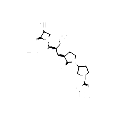 CSCC(/C=C1\CCN(C2CCN(C(=O)OC(C)(C)C)C2)C1=O)=C(/C(=O)O)N1C[C@H](N)C1=O